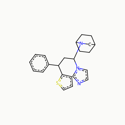 c1ccc(C(CC(N2CC3CCC2CC3)n2ccnc2)c2cccs2)cc1